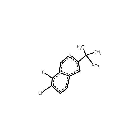 CC(C)(C)c1cc2ccc(Cl)c(F)c2cn1